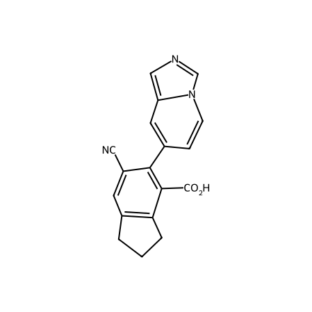 N#Cc1cc2c(c(C(=O)O)c1-c1ccn3cncc3c1)CCC2